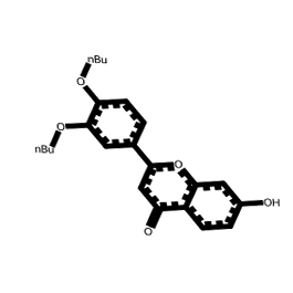 CCCCOc1ccc(-c2cc(=O)c3ccc(O)cc3o2)cc1OCCCC